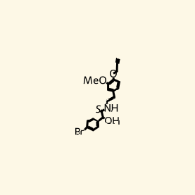 C#CCOc1ccc(CCNC(=S)C(O)c2ccc(Br)cc2)cc1OC